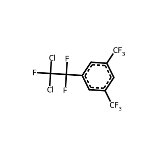 FC(F)(F)c1cc(C(F)(F)F)cc(C(F)(F)C(F)(Cl)Cl)c1